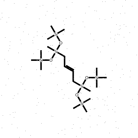 C[Si](C)(C)O[Si](C)(CC=CC[Si](C)(O[Si](C)(C)C)O[Si](C)(C)C)O[Si](C)(C)C